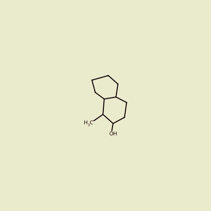 CC1C(O)CCC2CCCCC21